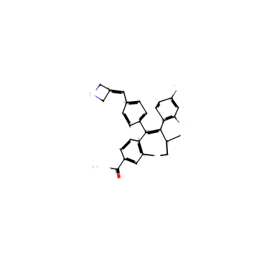 COC(=O)c1ccc2c(c1)CCC(C)C(c1ccc(Cl)cc1Cl)=C2c1ccc(C=C2CNC2)cc1